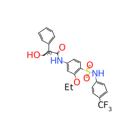 CCOc1cc(NC(=O)[C@@H](CO)c2ccccc2)ccc1S(=O)(=O)Nc1ccc(C(F)(F)F)cc1